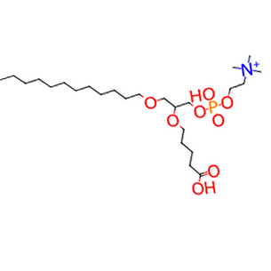 CCCCCCCCCCCCOCC(COP(=O)(O)OCC[N+](C)(C)C)OCCCCC(=O)O